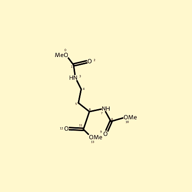 COC(=O)NCCC(NC(=O)OC)C(=O)OC